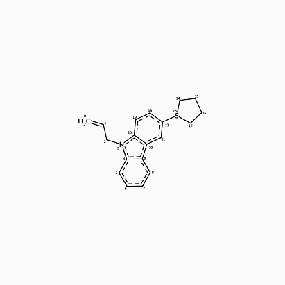 C=CCn1c2ccccc2c2cc([S+]3CCCC3)ccc21